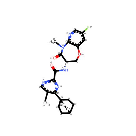 Cc1cnc(C(=O)N[C@H]2COc3cc(F)cnc3N(C)C2=O)nc1C12CCC(CC1)CC2